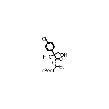 CCCCCC(CC)OC(=O)C(C)(CO)c1ccc(Cl)cc1